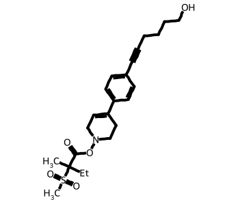 CCC(C)(C(=O)ON1CC=C(c2ccc(C#CCCCCO)cc2)CC1)S(C)(=O)=O